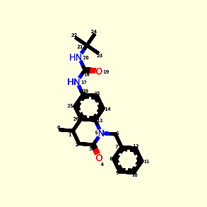 CC1CC(=O)N(Cc2ccccc2)c2ccc(NC(=O)NC(C)(C)C)cc21